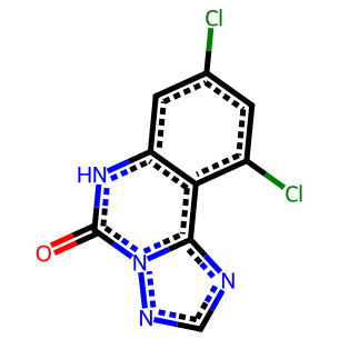 O=c1[nH]c2cc(Cl)cc(Cl)c2c2ncnn12